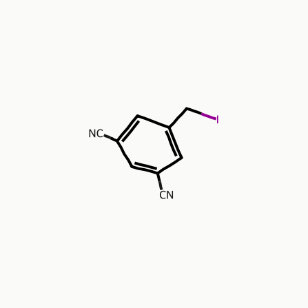 N#Cc1cc(C#N)cc(CI)c1